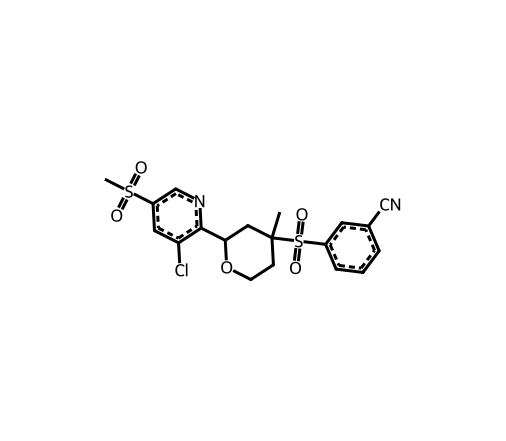 CC1(S(=O)(=O)c2cccc(C#N)c2)CCOC(c2ncc(S(C)(=O)=O)cc2Cl)C1